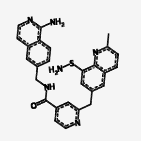 Cc1ccc2cc(Cc3cc(C(=O)NCc4ccc5c(N)nccc5c4)ccn3)cc(SN)c2n1